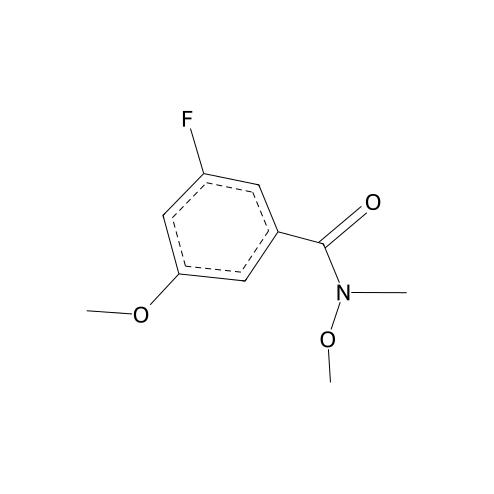 COc1cc(F)cc(C(=O)N(C)OC)c1